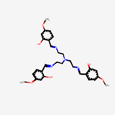 COc1ccc(C=NCCN(CCN=Cc2ccc(OC)cc2O)CCN=Cc2ccc(OC)cc2O)c(O)c1